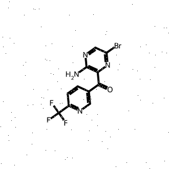 Nc1ncc(Br)nc1C(=O)c1ccc(C(F)(F)F)nc1